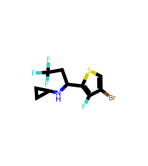 Fc1c(Br)csc1C(CC(F)(F)F)NC1CC1